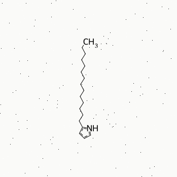 CCCCCCCCCCCCCCc1ccc[nH]1